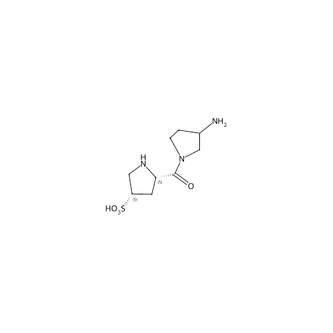 NC1CCN(C(=O)[C@@H]2C[C@H](S(=O)(=O)O)CN2)C1